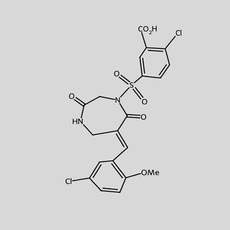 COc1ccc(Cl)cc1C=C1CNC(=O)CN(S(=O)(=O)c2ccc(Cl)c(C(=O)O)c2)C1=O